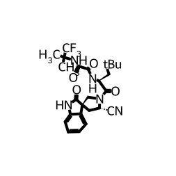 CC(C)(C)C[C@H](NC(=O)C(=O)NC(C)(C)C(F)(F)F)C(=O)N1C[C@]2(C[C@H]1C#N)C(=O)Nc1ccccc12